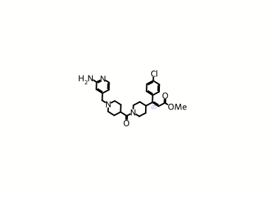 COC(=O)/C=C(\c1ccc(Cl)cc1)C1CCN(C(=O)C2CCN(Cc3ccnc(N)c3)CC2)CC1